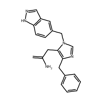 C=C(N)Cc1c(Cc2ccccc2)ncn1Cc1ccc2[nH]ncc2c1